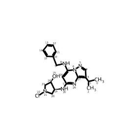 CC(C)c1cnn2c(NCc3ccccc3)cc(N[C@H]3CN(Cl)C[C@H]3O)nc12